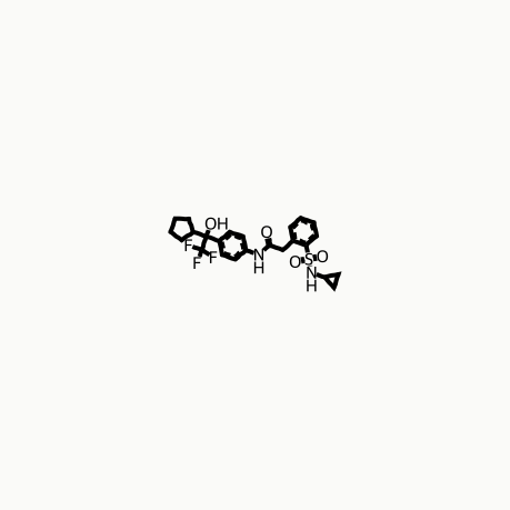 O=C(Cc1ccccc1S(=O)(=O)NC1CC1)Nc1ccc(C(O)(C2CCCC2)C(F)(F)F)cc1